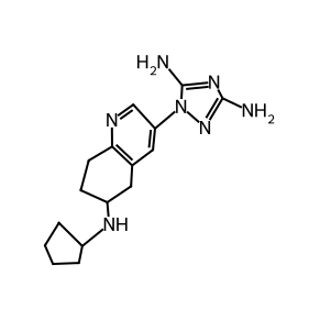 Nc1nc(N)n(-c2cnc3c(c2)CC(NC2CCCC2)CC3)n1